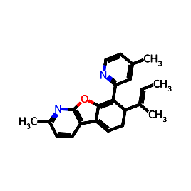 CC=C(C)C1CC=c2c(oc3nc(C)ccc23)=C1c1cc(C)ccn1